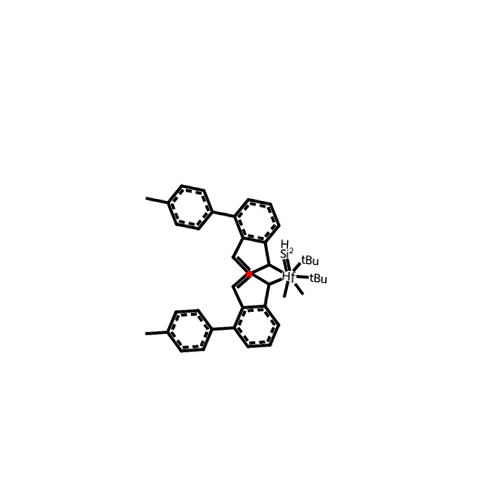 Cc1ccc(-c2cccc3c2C=C[CH]3[Hf]([CH3])([CH3])(=[SiH2])([CH]2C=Cc3c(-c4ccc(C)cc4)cccc32)([C](C)(C)C)[C](C)(C)C)cc1